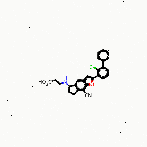 N#Cc1c2c(cc3cc(-c4cccc(-c5ccccc5)c4Cl)oc13)[C@H](NCCC(=O)O)CC2